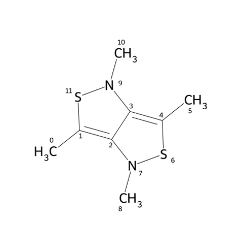 CC1=C2C(=C(C)SN2C)N(C)S1